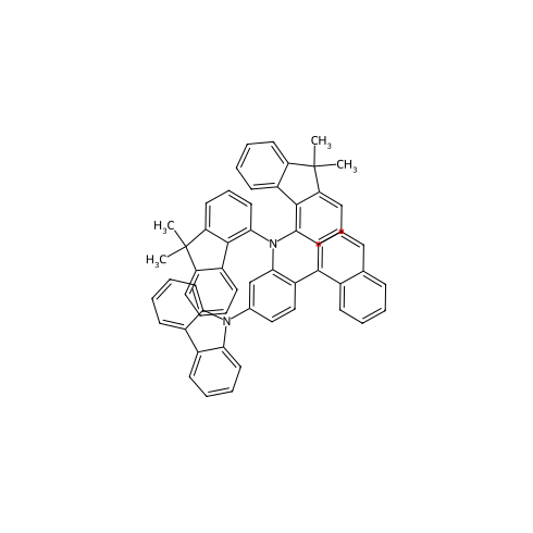 CC1(C)c2ccccc2-c2c(N(c3cc(-n4c5ccccc5c5ccccc54)ccc3-c3cccc4ccccc34)c3cccc4c3-c3ccccc3C4(C)C)cccc21